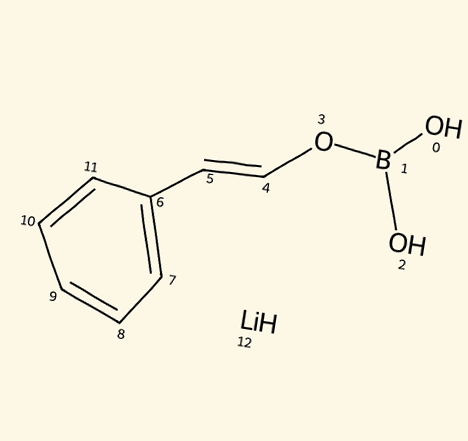 OB(O)OC=Cc1ccccc1.[LiH]